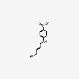 O=[N+]([O-])c1ccc(NC/C=C/CO)cc1